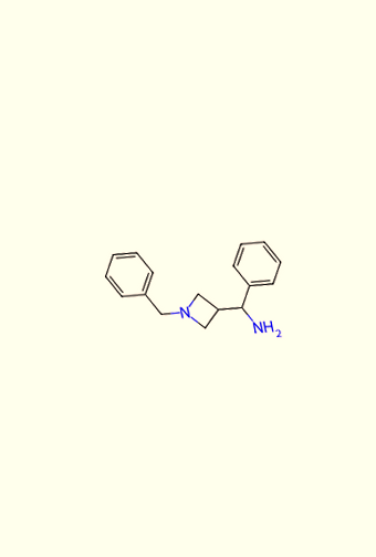 NC(c1ccccc1)C1CN(Cc2ccccc2)C1